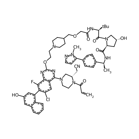 C=CC(=O)N1CCN(c2nc(OCCN3CCC(COCC(=O)N[C@H](C(=O)N4C[C@H](O)C[C@H]4C(=O)N[C@@H](C)c4ccc(-c5ccnn5C)cc4)C(C)(C)C)CC3)nc3c(F)c(-c4cc(O)cc5ccccc45)c(Cl)cc23)C[C@@H]1CC#N